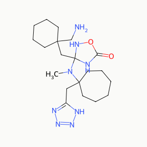 CN(C1(Cc2nnn[nH]2)CCCCCC1)C1(CC2(CN)CCCCC2)NOC(=O)N1